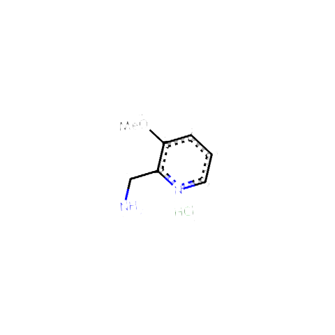 COc1cccnc1CN.Cl